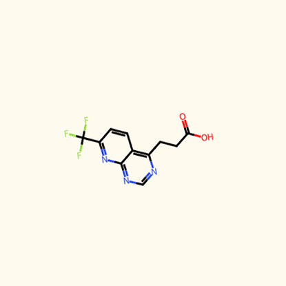 O=C(O)CCc1ncnc2nc(C(F)(F)F)ccc12